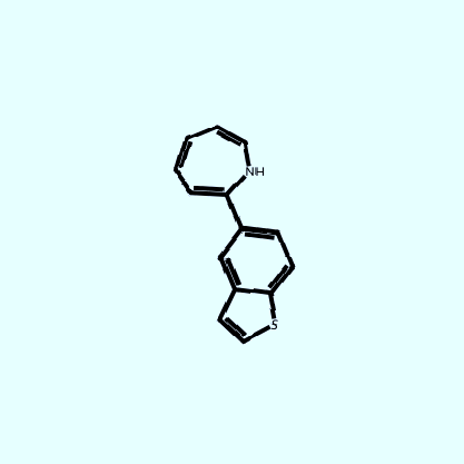 C1=CC=C(c2ccc3sccc3c2)NC=C1